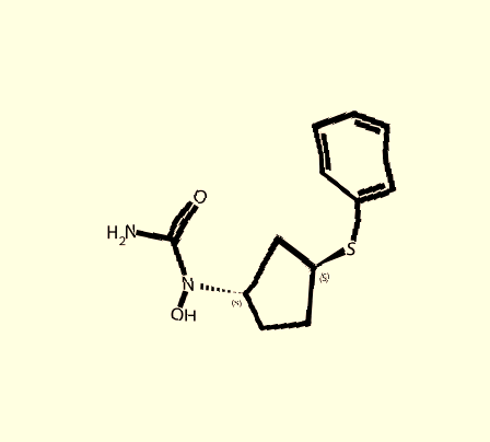 NC(=O)N(O)[C@H]1CC[C@H](Sc2ccccc2)C1